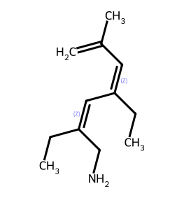 C=C(C)/C=C(\C=C(\CC)CN)CC